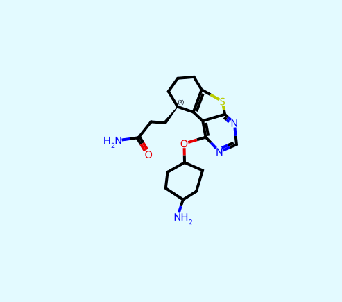 NC(=O)CC[C@H]1CCCc2sc3ncnc(OC4CCC(N)CC4)c3c21